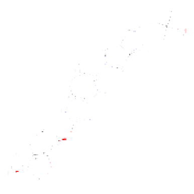 CC(C)(O)Cn1cc2c(n1)CN(c1nc3nc(O[C@@H]4CO[C@H]5[C@@H]4OC[C@H]5O)[nH]c3cc1Cl)C2